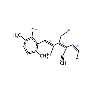 C#CC(/C=C\CC)=C(CF)\C(=C\c1c(C)ccc(C)c1C)CC